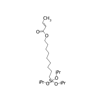 CC=CC(=O)OCCCCCCCCC[Si](OC(C)C)(OC(C)C)OC(C)C